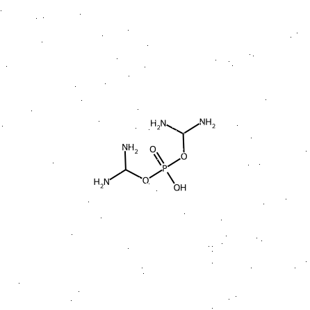 NC(N)OP(=O)(O)OC(N)N